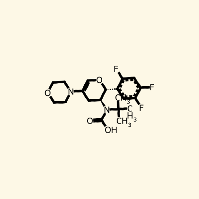 CC(C)(C)N(C(=O)O)[C@H]1CC(N2CCOCC2)=CO[C@@H]1c1cc(F)c(F)cc1F